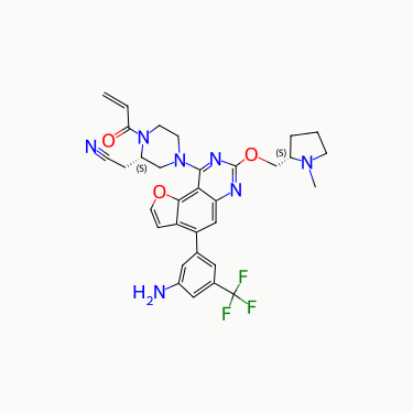 C=CC(=O)N1CCN(c2nc(OC[C@@H]3CCCN3C)nc3cc(-c4cc(N)cc(C(F)(F)F)c4)c4ccoc4c23)C[C@@H]1CC#N